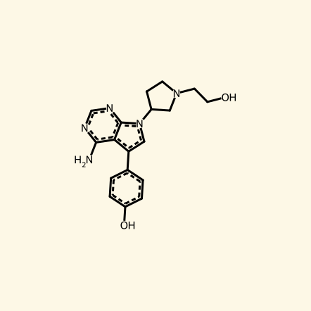 Nc1ncnc2c1c(-c1ccc(O)cc1)cn2C1CCN(CCO)C1